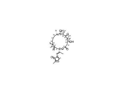 CC(=Cc1csc(C)[n+]1[O-])[C@@H]1C[C@@H]2C[C@]2(C)CCC[C@H](C)[C@H](O)[C@@H](C)C(=O)C(C)(C)[C@@H](O)CC(=O)O1